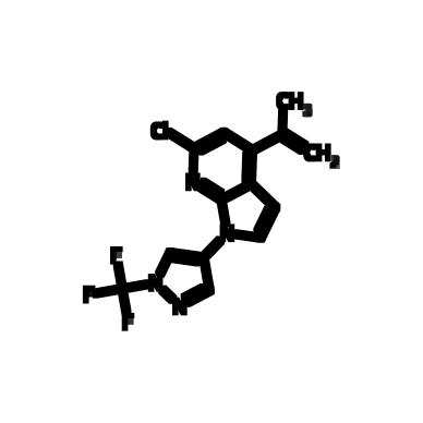 C=C(C)c1cc(Cl)nc2c1ccn2-c1cnn(C(F)(F)F)c1